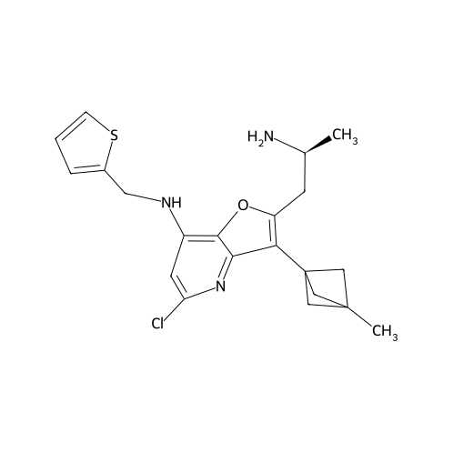 C[C@H](N)Cc1oc2c(NCc3cccs3)cc(Cl)nc2c1C12CC(C)(C1)C2